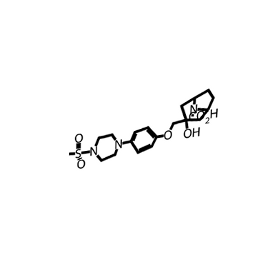 CS(=O)(=O)N1CCN(c2ccc(OCC3(O)CC4CCC(C3)N4C(=O)O)cc2)CC1